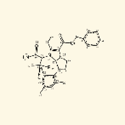 CCC1=C(C(=O)OCc2ccccc2)N2CCN(c3c(C)cc(C)cc3C)C2N1C(C(N)=O)C(F)(F)F